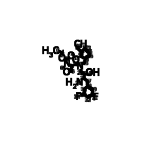 CCOC(=O)N1COC[C@@H]1C(=O)N(Cc1cccc(CC)c1)C[C@@H](O)[C@@H](N)Cc1cc(F)cc(F)c1